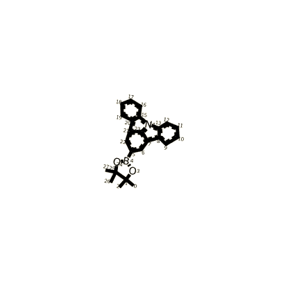 CC1(C)OB(c2cc3c4ccccc4n4c5ccccc5c(c2)c34)OC1(C)C